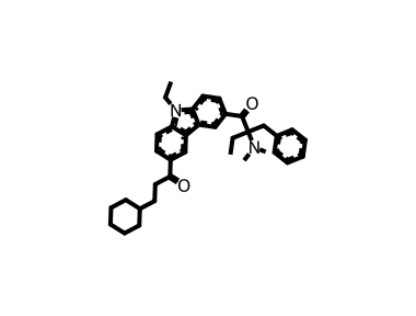 CCn1c2ccc(C(=O)CCC3CCCCC3)cc2c2cc(C(=O)C(CC)(Cc3ccccc3)N(C)C)ccc21